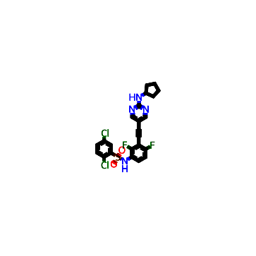 O=S(=O)(Nc1ccc(F)c(C#Cc2cnc(NC3CCCC3)nc2)c1F)c1cc(Cl)ccc1Cl